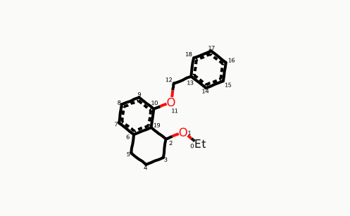 CCOC1CCCc2cccc(OCc3ccccc3)c21